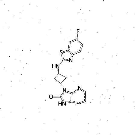 O=c1[nH]c2cccnc2n1[C@H]1C[C@H](Nc2nc3ccc(F)cc3s2)C1